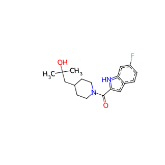 CC(C)(O)CC1CCN(C(=O)c2cc3ccc(F)cc3[nH]2)CC1